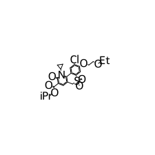 CCOCCOc1cc2c(cc1Cl)-c1c(cc(C(=O)OC(C)C)c(=O)n1C1CC1)CS2(=O)=O